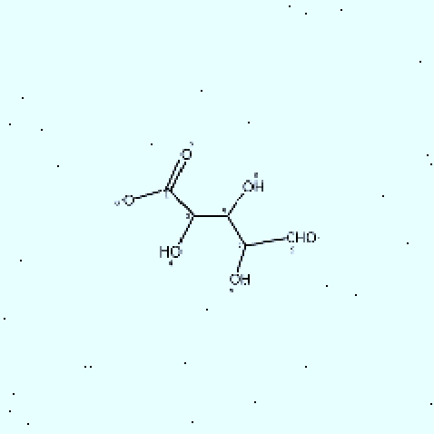 [O]C(=O)C(O)C(O)C(O)[C]=O